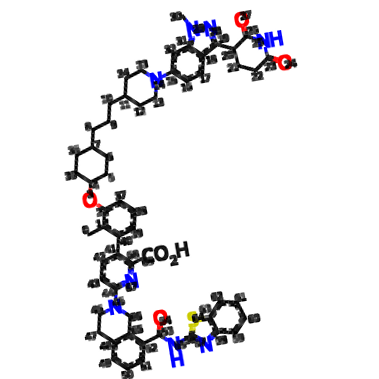 Cc1c(OC2CCC(CCCC3CCN(c4ccc5c(C6CCC(=O)NC6=O)nn(C)c5c4)CC3)CC2)cccc1-c1ccc(N2CCc3cccc(C(=O)Nc4nc5ccccc5s4)c3C2)nc1C(=O)O